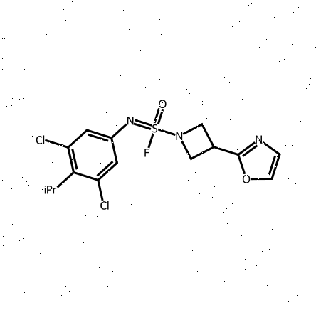 CC(C)c1c(Cl)cc(N=S(=O)(F)N2CC(c3ncco3)C2)cc1Cl